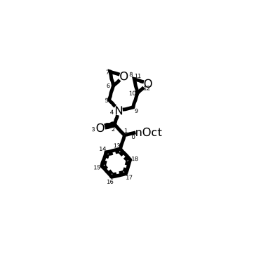 CCCCCCCCC(C(=O)N(CC1CO1)CC1CO1)c1ccccc1